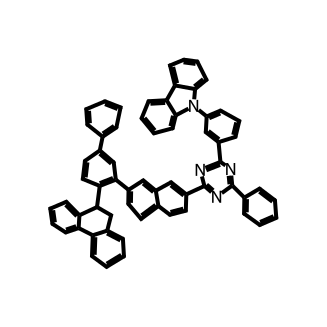 c1ccc(-c2ccc(C3Cc4ccccc4-c4ccccc43)c(-c3ccc4ccc(-c5nc(-c6ccccc6)nc(-c6cccc(-n7c8ccccc8c8ccccc87)c6)n5)cc4c3)c2)cc1